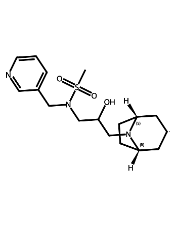 CS(=O)(=O)N(Cc1cccnc1)CC(O)CN1[C@@H]2C[CH]C[C@H]1CC2